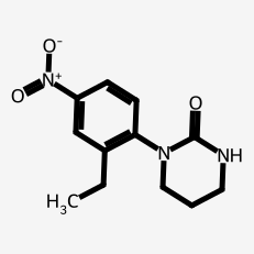 CCc1cc([N+](=O)[O-])ccc1N1CCCNC1=O